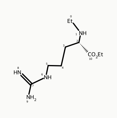 CCN[C@@H](CCCNC(=N)N)C(=O)OCC